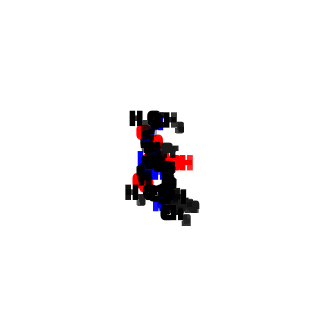 C=C/C=N\C(=C\c1c2c3cc(ccc3n1CC)-c1cc(O)cc(c1)C[C@H](NC(=O)[C@H](C(C)C)N1CC[C@]3(CCN(C(=O)/C=C/CN(C)C)C3)C1=O)C(=O)N1CCC[C@H](N1)C(=O)OCC(C)(C)C2)[C@H](C)OC